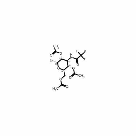 CC(=O)OC[C@H]1O[C@H](Br)[C@H](OC(C)=O)[C@@H](NC(=O)C(F)(F)F)[C@@H]1OC(C)=O